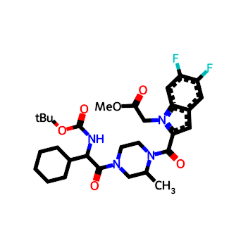 COC(=O)Cn1c(C(=O)N2CCN(C(=O)C(NC(=O)OC(C)(C)C)C3CCCCC3)CC2C)cc2cc(F)c(F)cc21